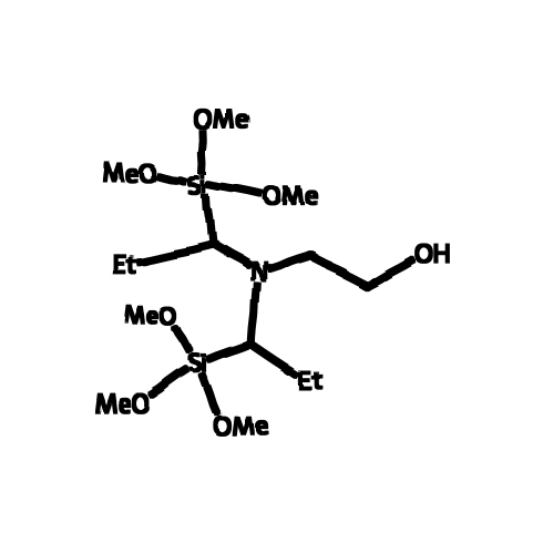 CCC(N(CCO)C(CC)[Si](OC)(OC)OC)[Si](OC)(OC)OC